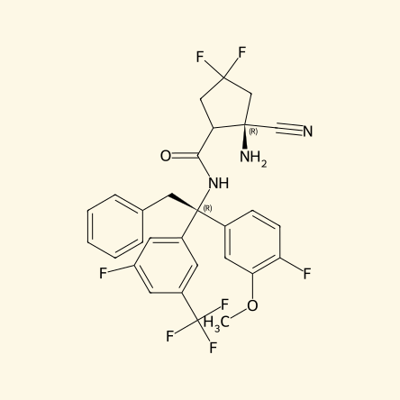 COc1cc([C@@](Cc2ccccc2)(NC(=O)C2CC(F)(F)C[C@]2(N)C#N)c2cc(F)cc(C(F)(F)F)c2)ccc1F